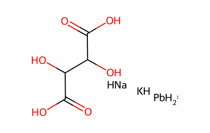 O=C(O)C(O)C(O)C(=O)O.[KH].[NaH].[PbH2]